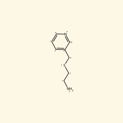 NCCSCc1cccnc1